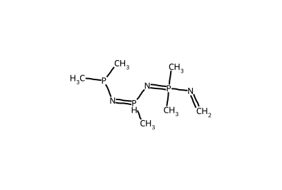 C=NP(C)(C)=N/[PH](C)=N\P(C)C